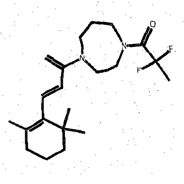 C=C(/C=C/C1=C(C)CCCC1(C)C)N1CCCN(C(=O)C(C)(F)F)CC1